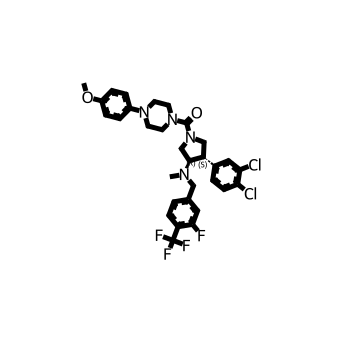 COc1ccc(N2CCN(C(=O)N3C[C@H](c4ccc(Cl)c(Cl)c4)[C@@H](N(C)Cc4ccc(C(F)(F)F)c(F)c4)C3)CC2)cc1